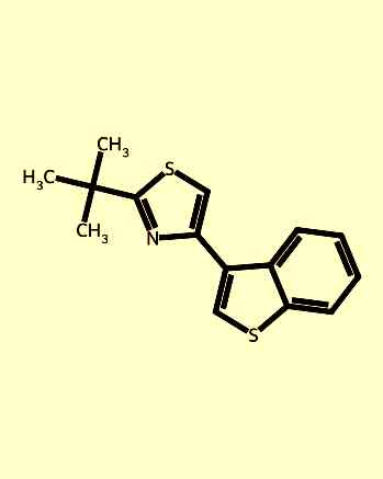 CC(C)(C)c1nc(-c2csc3ccccc23)cs1